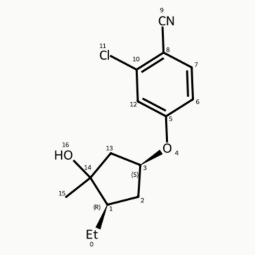 CC[C@@H]1C[C@H](Oc2ccc(C#N)c(Cl)c2)CC1(C)O